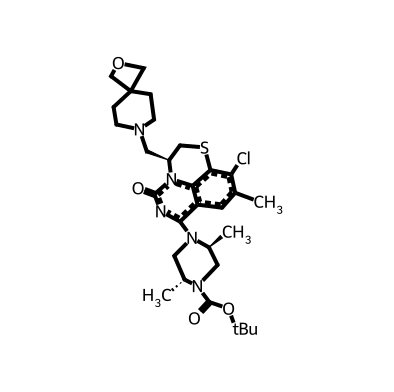 Cc1cc2c(N3C[C@@H](C)N(C(=O)OC(C)(C)C)C[C@@H]3C)nc(=O)n3c2c(c1Cl)SC[C@@H]3CN1CCC2(CC1)COC2